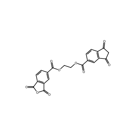 O=C(OCCOC(=O)c1ccc2c(c1)C(=O)OC2=O)c1ccc2c(c1)C(=O)CC2=O